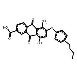 CCCCc1ccc(Oc2cc(O)c3c(c2N)C(=O)c2ccc(C(=O)O)cc2C3=O)cc1